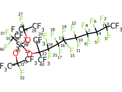 FC(F)(F)C(F)(F)C(F)(F)C(F)(F)C(F)(F)C(F)(F)C(F)(F)C(F)(F)C(O[Si](OC(F)(C(F)(F)F)C(F)(F)F)(OC(F)(C(F)(F)F)C(F)(F)F)C(F)(F)C(F)(F)F)(C(F)(F)F)C(F)(F)F